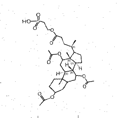 CC(=O)OC1CCC2(C)C(C1)CC(OC(C)=O)[C@@H]1[C@@H]2CC(OC(C)=O)[C@]2(C)C([C@H](C)CCC(=O)OCCS(=O)(=O)O)CC[C@@H]12